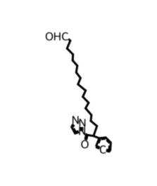 O=CCCCCCCCCCCCCCCCC(C(=O)n1ccnn1)c1ccccc1